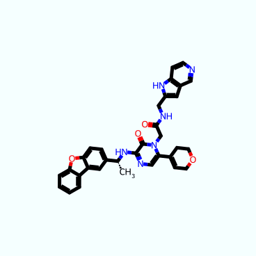 C[C@@H](Nc1ncc(C2=CCOCC2)n(CC(=O)NCc2cc3cnccc3[nH]2)c1=O)c1ccc2oc3ccccc3c2c1